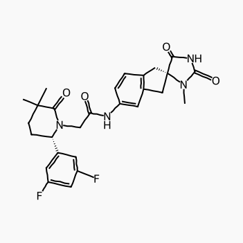 CN1C(=O)NC(=O)[C@@]12Cc1ccc(NC(=O)CN3C(=O)C(C)(C)CC[C@H]3c3cc(F)cc(F)c3)cc1C2